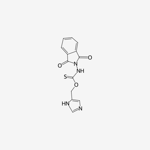 O=C1c2ccccc2C(=O)N1NC(=S)OCc1cnc[nH]1